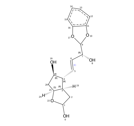 OC1C[C@@H]2[C@@H](/C=C/[C@@H](O)C3Oc4ccccc4O3)[C@H](O)C[C@@H]2O1